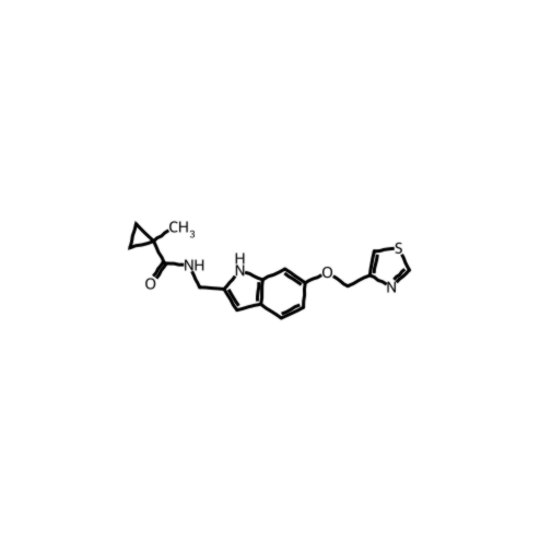 CC1(C(=O)NCc2cc3ccc(OCc4cscn4)cc3[nH]2)CC1